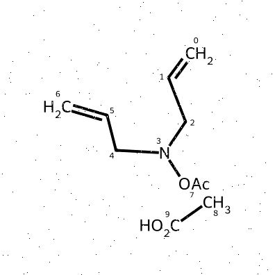 C=CCN(CC=C)OC(C)=O.CC(=O)O